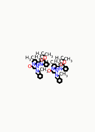 Cc1cc(C(C)Nc2ccccc2C(=O)OC(C)(C)C)c2nc(N3Cc4ccccc4C3C)cc(=O)n2c1.Cc1cc([C@H](C)Nc2ccccc2C(=O)OC(C)(C)C)c2nc(N3Cc4ccccc4[C@H]3C)cc(=O)n2c1